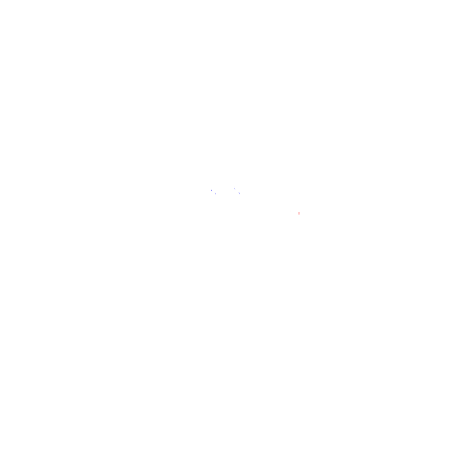 OC1CCN(Nc2cc(F)cc(F)c2)C1